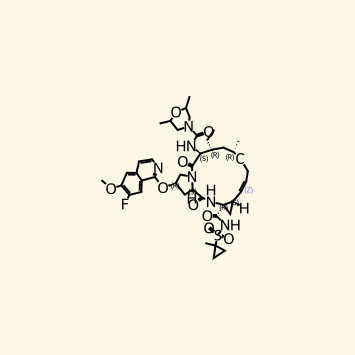 CC[C@@H]1C[C@H](C)CC/C=C\[C@@H]2C[C@@]2(C(=O)NS(=O)(=O)C2(C)CC2)NC(=O)[C@@H]2C[C@@H](Oc3nccc4cc(OC)c(F)cc34)CN2C(=O)[C@H]1NC(=O)N1CC(C)OC(C)C1